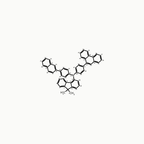 CC1(C)c2ccccc2-c2c(N(c3ccc(-c4ccc5ccccc5c4)cc3)c3ccc(-c4cc5ccccc5c5ccccc45)cc3)cccc21